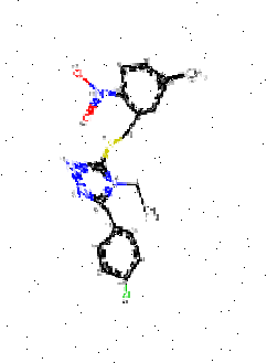 CCn1c(SCc2cc(C)ccc2[N+](=O)[O-])nnc1-c1ccc(Cl)cc1